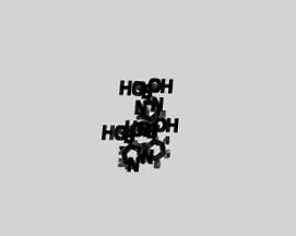 OB(O)c1cccnc1.OB(O)c1ccncc1.OB(O)c1ncccn1